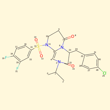 CC(C)N1C=C2N(C(=O)CCN2S(=O)(=O)c2ccc(F)c(F)c2)C(Cc2ccc(Cl)cc2)C1=O